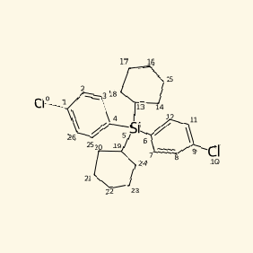 Clc1ccc([Si](c2ccc(Cl)cc2)(C2CCCCC2)C2CCCCC2)cc1